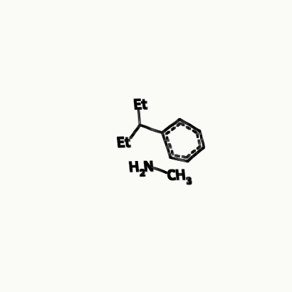 CCC(CC)c1ccccc1.CN